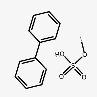 O=S(=O)(O)OI.c1ccc(-c2ccccc2)cc1